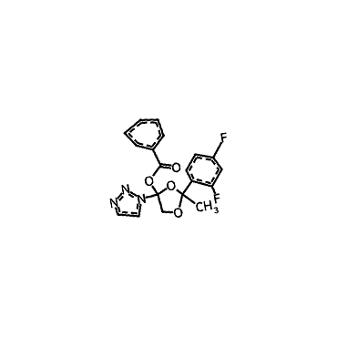 CC1(c2ccc(F)cc2F)OCC(OC(=O)c2ccccc2)(n2ccnn2)O1